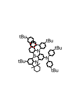 CC(C)(C)c1ccc(N(c2ccc(C(C)(C)C)cc2)c2cc3c4c(c2)N2c5c(cc(C(C)(C)C)cc5C5(C)CCCCC25C)B4c2ccc4c(sc5ccc(C(C)(C)C)cc54)c2N3c2ccc(C(C)(C)C)cc2-c2ccccc2)cc1